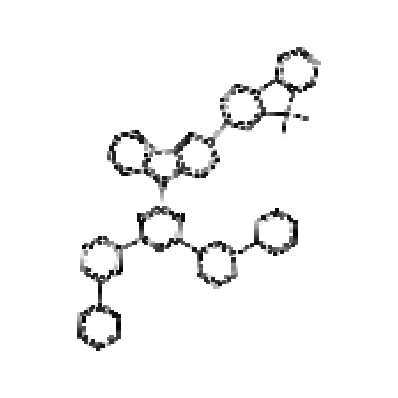 CC1(C)c2ccccc2-c2ccc(-c3ccc4c(c3)c3ccccc3n4-c3nc(-c4cccc(-c5ccccc5)c4)cc(-c4cccc(-c5ccccc5)c4)n3)cc21